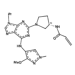 C=CC(=O)N[C@H]1CCN(c2nc(Nc3cn(C)nc3OC)c3ncn(C(C)C)c3n2)C1